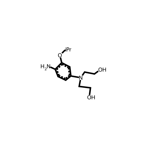 CC(C)Oc1cc(N(CCO)CCO)ccc1N